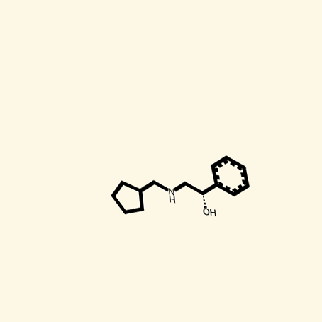 O[C@H](CNC[C]1CCCC1)c1ccccc1